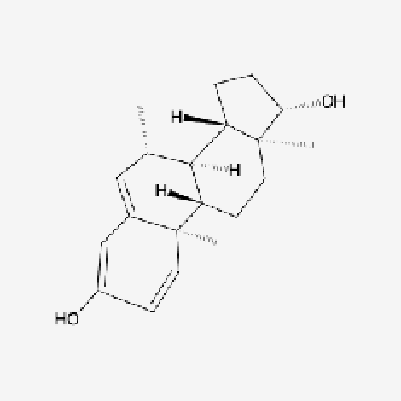 C[C@H]1C=C2C=C(O)C=C[C@]2(C)[C@H]2CC[C@]3(C)[C@@H](O)CC[C@H]3[C@H]12